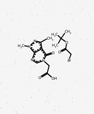 CC(C)(C)OC(=O)CBr.Cc1nn(C)c2ncn(CC(=O)O)c(=O)c12